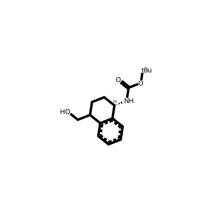 CC(C)(C)OC(=O)N[C@H]1CCC(CO)c2ccccc21